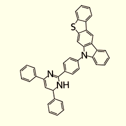 C1=C(c2ccccc2)N=C(c2ccc(-n3c4ccccc4c4cc5c(cc43)sc3ccccc35)cc2)NC1c1ccccc1